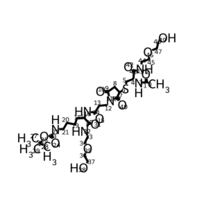 CC(=O)NC(CSC1CC(=O)N(CCC(=O)NC(CCCCNC(=O)OC(C)(C)C)C(=O)NCCOCCO)C1=O)C(=O)NCCOCCO